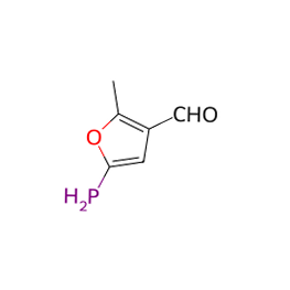 Cc1oc(P)cc1C=O